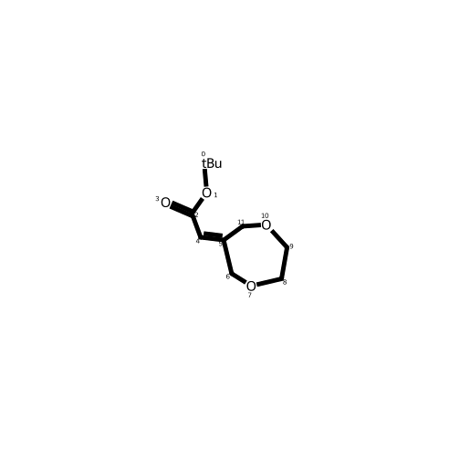 CC(C)(C)OC(=O)C=C1COCCOC1